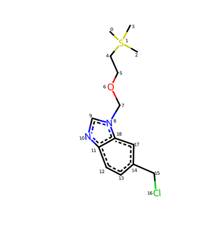 CS(C)(C)CCOCn1cnc2ccc(CCl)cc21